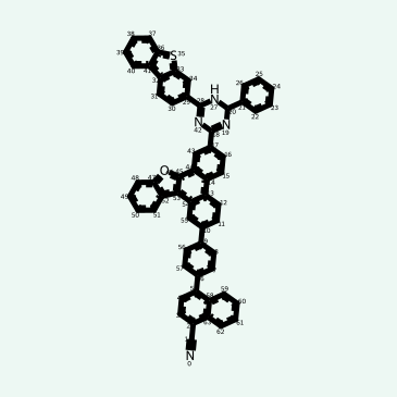 N#Cc1ccc(-c2ccc(-c3ccc4c5ccc(C6=NC(c7ccccc7)NC(c7ccc8c(c7)sc7ccccc78)=N6)cc5c5oc6ccccc6c5c4c3)cc2)c2ccccc12